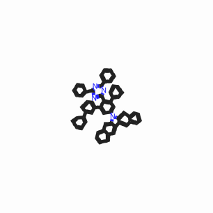 c1ccc(-c2cccc(-c3cc(-n4c5cc6ccccc6cc5c5cc6ccccc6cc54)cc(-c4ccccc4)c3-c3nc(-c4ccccc4)nc(-c4ccccc4)n3)c2)cc1